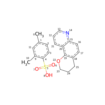 Cc1ccc(S(=O)(=O)O)c(C)c1.c1cnc2ccc3c(c2c1)OCCC3